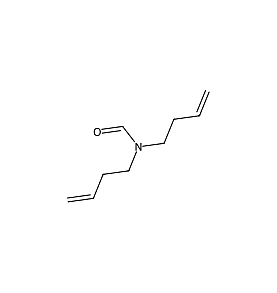 C=CCCN(C=O)CCC=C